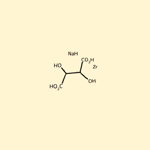 O=C(O)C(O)C(O)C(=O)O.[NaH].[Zr]